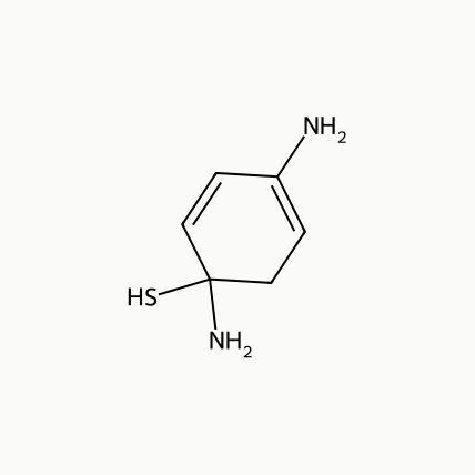 NC1=CCC(N)(S)C=C1